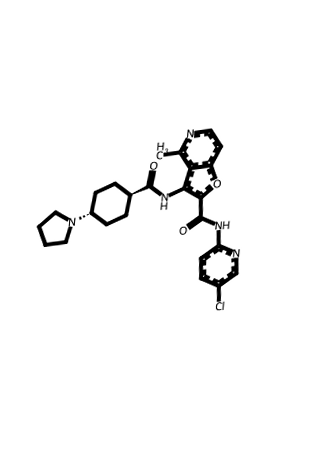 Cc1nccc2oc(C(=O)Nc3ccc(Cl)cn3)c(NC(=O)[C@H]3CC[C@H](N4CCCC4)CC3)c12